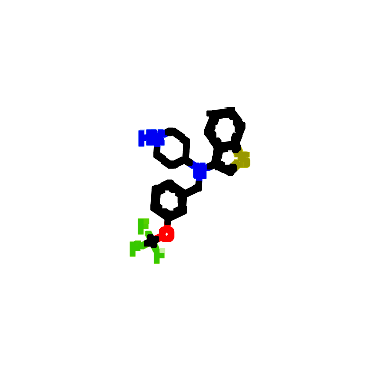 FC(F)(F)Oc1cccc(CN(c2csc3cc[c]cc23)C2CCNCC2)c1